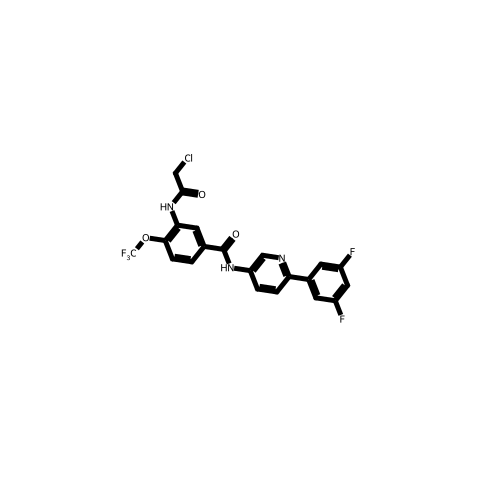 O=C(CCl)Nc1cc(C(=O)Nc2ccc(-c3cc(F)cc(F)c3)nc2)ccc1OC(F)(F)F